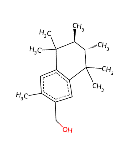 Cc1cc2c(cc1CO)C(C)(C)[C@@H](C)[C@H](C)C2(C)C